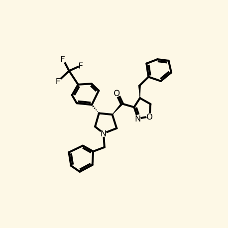 O=C(C1=NOC[C@@H]1Cc1ccccc1)[C@H]1CN(Cc2ccccc2)C[C@@H]1c1ccc(C(F)(F)F)cc1